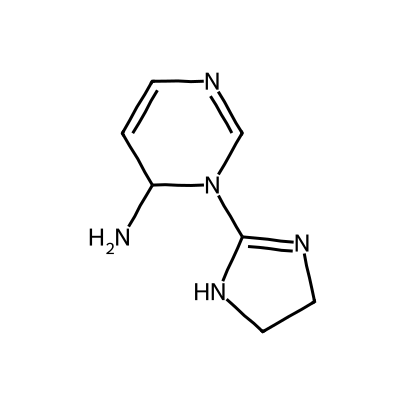 NC1C=CN=CN1C1=NCCN1